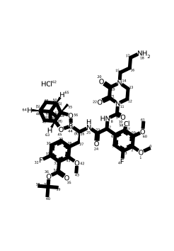 COc1c(F)cc(C(NC(=O)N2CCN(CCCN)C(=O)C2=O)C(=O)N[C@@H](Cc2ccc(F)c(C(=O)OC(C)(C)C)c2OC)B2O[C@@H]3C[C@@H]4C[C@@H](C4(C)C)[C@]3(C)O2)c(Cl)c1OC.Cl